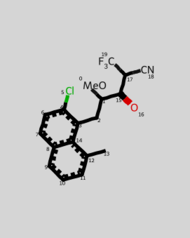 COC(Cc1c(Cl)ccc2cccc(C)c12)C(=O)C(C#N)C(F)(F)F